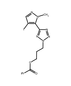 CC(C)C(=O)OCCCn1nnc(-c2c(I)cnn2C)n1